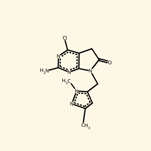 Cc1cc(CN2C(=O)Cc3c(Cl)nc(N)nc32)n(C)n1